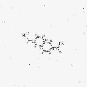 CC(=O)c1ccc2cc(CBr)ccc2c1